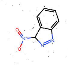 O=[N+]([O-])[C]1N=Nc2ccccc21